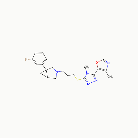 Cc1ncoc1-c1nnc(SCCCN2CC3CC3(c3cccc(Br)c3)C2)n1C